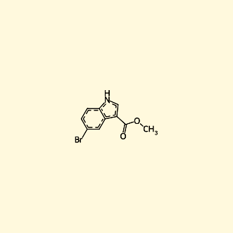 COC(=O)c1c[nH]c2ccc(Br)cc12